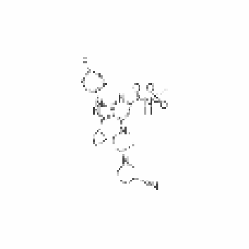 CS(=O)(=O)NC(=O)c1cc(N2CCC(N3CCCC(C#N)C3)CC2)c2c(C3CCC3)nn(-c3ccc(F)cc3)c2n1